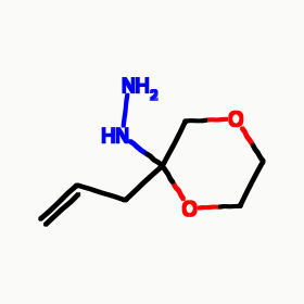 C=CCC1(NN)COCCO1